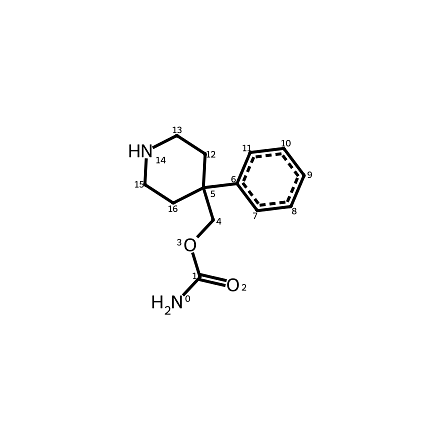 NC(=O)OCC1(c2ccccc2)CCNCC1